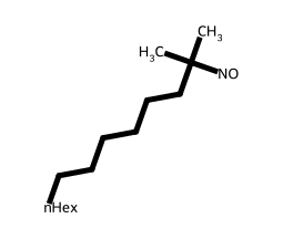 CCCCCCCCCCCCC(C)(C)N=O